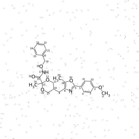 COc1ccc(-c2nc(CC3COC(C)(C(=O)NOCc4ccccc4)OC3)c(C)o2)cc1